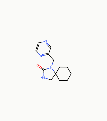 O=C1NCC2(CCCCC2)N1Cc1cnccn1